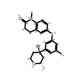 C[C@H]1C[C@@](Br)(c2cc(F)cc(Sc3ccc4c(c3)CCC(=O)N4C)c2)CCO1